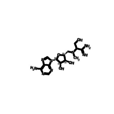 CN(C[C@H]1O[C@@H](n2cnc3c(N)ncnc32)[C@H](O)[C@@H]1O)C(CO)C(=N)N